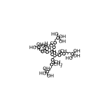 CC1(C)c2cc(CCCc3cc(CO)c(O)c(CO)c3)ccc2-c2ccc(-c3cc(-c4ccc5c(c4)C(C)(C)c4cc(CCCc6cc(CO)c(O)c(CO)c6)ccc4-5)c4ccc5c(-c6ccc7c(c6)C(C)(C)c6cc(Cc8cc(CO)c(O)c(CO)c8)ccc6-7)cc(-c6ccc7c(c6)C(C)(C)c6cc(Cc8cc(CO)c(O)c(CO)c8)ccc6-7)c6ccc3c4c65)cc21